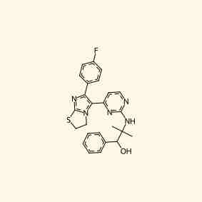 CC(C)(Nc1nccc(-c2c(-c3ccc(F)cc3)nc3n2CCS3)n1)C(O)c1ccccc1